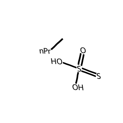 CCCC.O=S(O)(O)=S